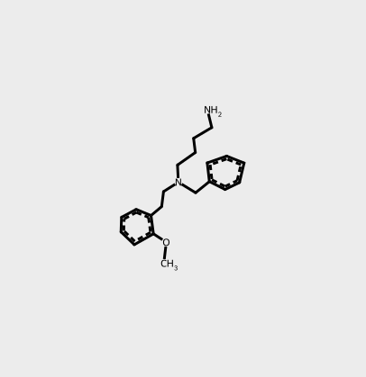 COc1ccccc1CCN(CCCCN)Cc1ccccc1